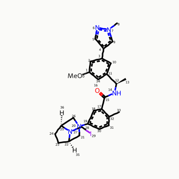 COc1cc(-c2cnn(C)c2)cc([C@@H](C)NC(=O)c2cc(N3C[C@H]4CC[C@@H](C3)N4CI)ccc2C)c1